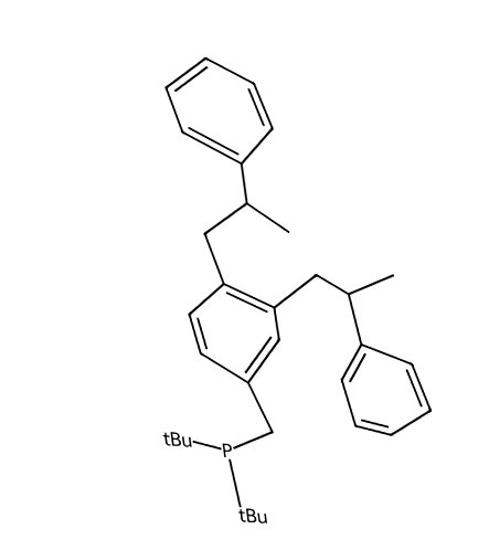 CC(Cc1ccc(CP(C(C)(C)C)C(C)(C)C)cc1CC(C)c1ccccc1)c1ccccc1